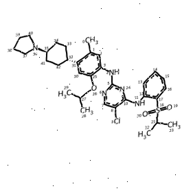 Cc1cc(Nc2ncc(Cl)c(Nc3ccccc3S(=O)(=O)C(C)C)n2)c(OC(C)C)cc1[C@H]1CC[C@H](N2CCCC2)CC1